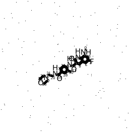 CNc1cc(F)cc2cc(C(=O)Nc3ccc(C(=O)NCCN4CCOCC4)cc3C)c(=O)[nH]c12